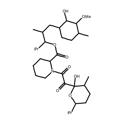 COC1C(C)CCC(CC(C)C(OC(=O)C2CCCCN2C(=O)C(=O)C2(O)OC(C(C)C)CCC2C)C(C)C)C1O